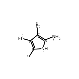 CCc1c(C)[nH]c(N)c1CC